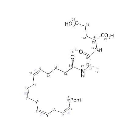 CCCCC/C=C\C/C=C\C/C=C\C/C=C\CCCC(=O)N[C@@H](C)C(=O)N[C@H](CCC(=O)O)C(=O)O